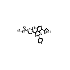 CC(C)(C)OC(=O)N1CCN(c2nc(-c3ccncc3)nc3c(-c4cc[nH]n4)ncc(Cl)c23)CC1